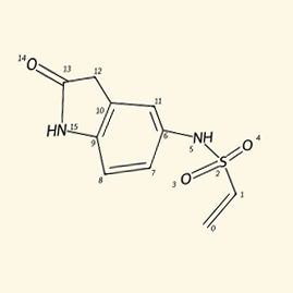 C=CS(=O)(=O)Nc1ccc2c(c1)CC(=O)N2